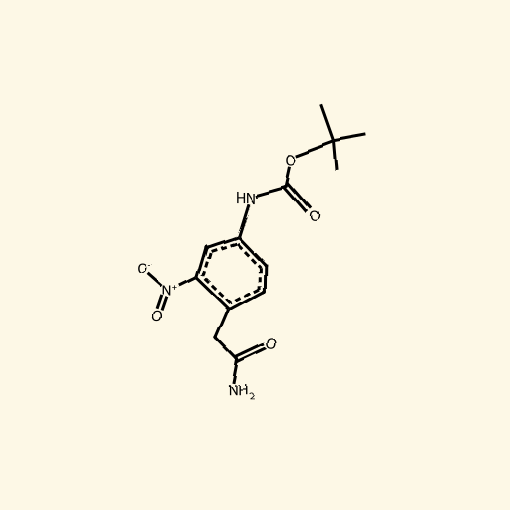 CC(C)(C)OC(=O)Nc1ccc(CC(N)=O)c([N+](=O)[O-])c1